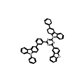 C1=CCCC(C2=Cc3c(n(-c4nc(-c5cccc(-c6ccc7c(c6)c6ccccc6n7-c6ccccc6)c5)nc(-c5ccc6oc7ccccc7c6c5)n4)c4ccccc34)CC2)=C1